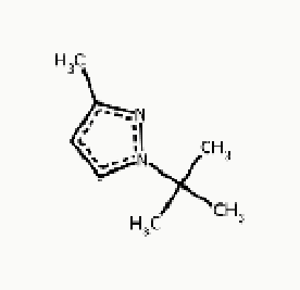 Cc1c[c]n(C(C)(C)C)n1